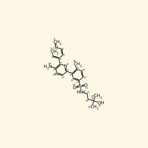 C=N/C=C\C(=C/C)c1nc(-c2cc(S(=O)(=O)NCCC(C)(C)O)ccc2C)cnc1N